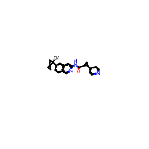 N#CC1(c2ccc3cnc(NC(=O)C4CC4c4ccncc4)cc3c2)CC12CC2